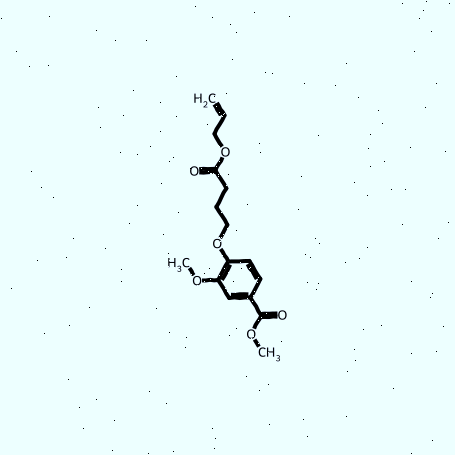 C=CCOC(=O)CCCOc1ccc(C(=O)OC)cc1OC